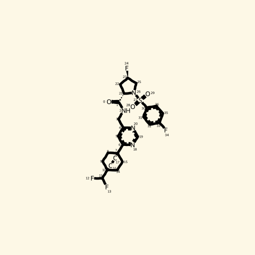 O=C(NCc1cc(C23CCC(C(F)F)(CC2)CC3)ncn1)[C@@H]1C[C@@H](F)CN1S(=O)(=O)c1ccc(F)cc1